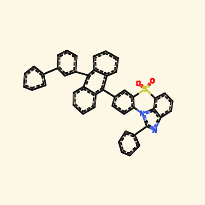 O=S1(=O)c2cc(-c3c4ccccc4c(-c4cccc(-c5ccccc5)c4)c4ccccc34)ccc2-n2c(-c3ccccc3)nc3cccc1c32